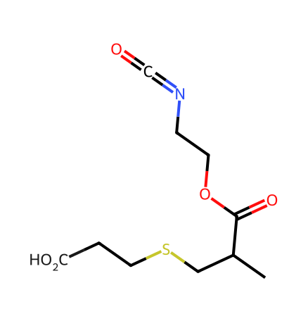 CC(CSCCC(=O)O)C(=O)OCCN=C=O